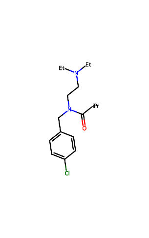 CCN(CC)CCN(Cc1ccc(Cl)cc1)C(=O)C(C)C